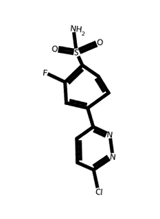 NS(=O)(=O)c1ccc(-c2ccc(Cl)nn2)cc1F